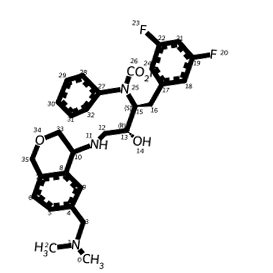 CN(C)Cc1ccc2c(c1)C(NC[C@@H](O)[C@H](Cc1cc(F)cc(F)c1)N(C(=O)O)c1ccccc1)COC2